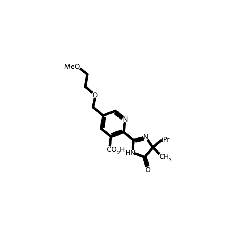 COCCOCc1cnc(C2=NC(C)(C(C)C)C(=O)N2)c(C(=O)O)c1